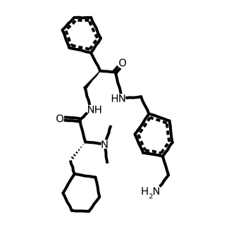 CN(C)[C@H](CC1CCCCC1)C(=O)NC[C@H](C(=O)NCc1ccc(CN)cc1)c1ccccc1